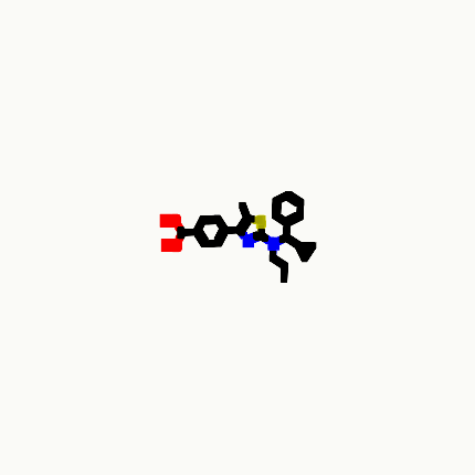 CCCN(c1nc(-c2ccc(C(O)O)cc2)c(C)s1)C(c1ccccc1)C1CC1